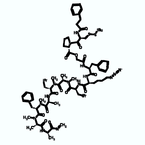 C=NC(=O)[C@H](C)NC(=O)[C@H](C)N(C)C(=O)[C@H](Cc1ccccc1)N(C)C(=O)[C@H](C)NC(=O)[C@H](CC(C)C)N(C)C(=O)[C@H](C)N(C)C(=O)[C@H](CC(C)C)NC(=O)[C@H](CCCCN=[N+]=[N-])NC(=O)[C@H](Cc1ccccc1)NC(=O)COC(=O)[C@@H]1CCCN1C(=O)[C@H](CSSC(C)(C)C)NC(=O)CCc1ccccc1